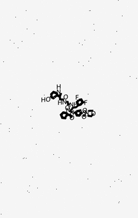 O=C(Cc1c[nH]c2ccc(O)cc12)NCC(=O)NC(Cc1cc(F)cc(F)c1)c1nc2ccccc2c(=O)n1-c1ccc(S(=O)(=O)N2CCOCC2)cc1